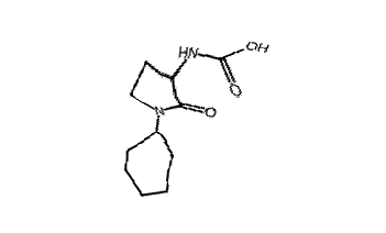 O=C(O)NC1CCN(C2CCCCC2)C1=O